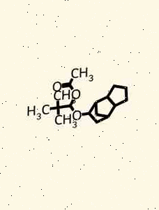 CC(=O)OC(OC1CC2CC1C1CCCC21)C(C)(C)C